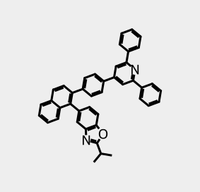 CC(C)c1nc2cc(-c3c(-c4ccc(-c5cc(-c6ccccc6)nc(-c6ccccc6)c5)cc4)ccc4ccccc34)ccc2o1